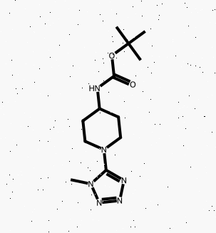 Cn1nnnc1N1CCC(NC(=O)OC(C)(C)C)CC1